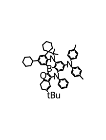 Cc1ccc(N(c2ccc(C)cc2)c2cc3c4c(c2)N2c5c(cc(C6CCCCC6)cc5C5(CCCCC5)C2(C)C)B4c2oc4c(c2N3c2ccccc2)C=C(C(C)(C)C)CC4)cc1